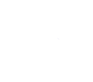 CCCCC/C=C\CC(C)CCCCCCCCC(CC)CCCCCCCCC(C)CC(C)CCCCC